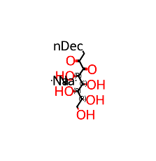 CCCCCCCCCCCC(=O)C(=O)[C@H](O)[C@@H](O)[C@H](O)[C@H](O)CO.[Na].[Na]